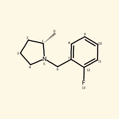 C[C@H]1CCCN1Cc1cc[c]cc1F